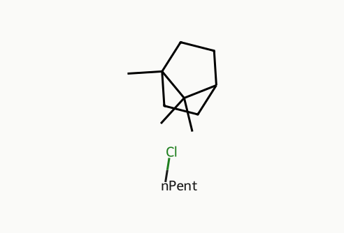 CC12CCC(CC1)C2(C)C.CCCCCCl